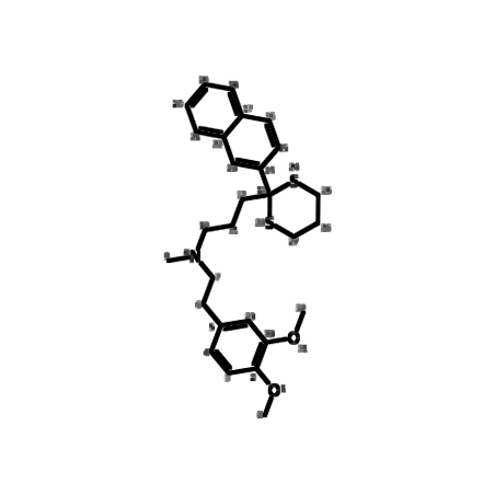 COc1ccc(CCN(C)CCCC2(c3ccc4ccccc4c3)SCCCS2)cc1OC